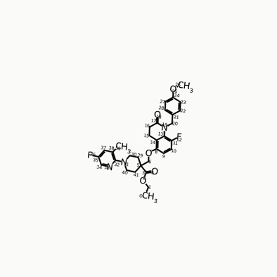 CCOC(=O)C1(COc2ccc(F)c3c2CCC(=O)N3Cc2ccc(OC)cc2)CCN(c2ncc(F)cc2C)CC1